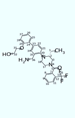 CC[C@@H]1CN(C(=O)c2ccccc2C(F)(F)F)CCN1c1ccc(-c2ccccc2OCCO)cc1CN